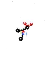 COCOc1ccc(CCC(CCc2ccccc2)OC(=S)NCCc2ccccc2)cc1OCOC